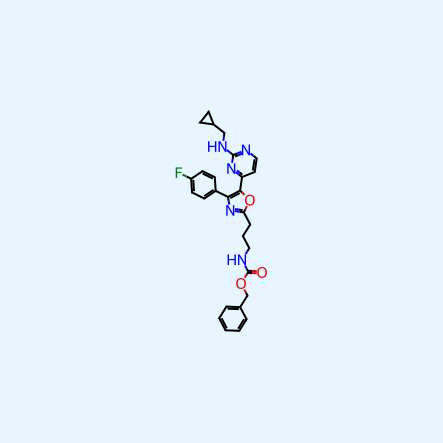 O=C(NCCCc1nc(-c2ccc(F)cc2)c(-c2ccnc(NCC3CC3)n2)o1)OCc1ccccc1